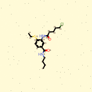 CCCCNC(=O)c1ccc(SCC)c(NC(=O)CCCCCl)c1